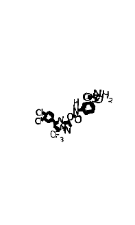 NS(=O)(=O)c1cccc(NC(=O)Oc2cnn3c(C(F)(F)F)cc(-c4ccc(Cl)c(Cl)c4)nc23)c1